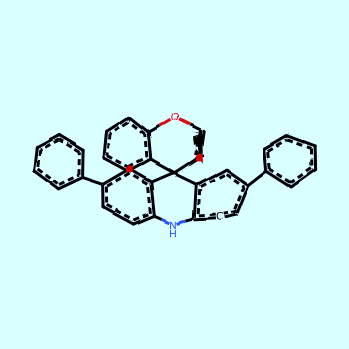 c1ccc(-c2ccc3c(c2)C2(c4cc(-c5ccccc5)ccc4N3)c3ccccc3Oc3ccccc32)cc1